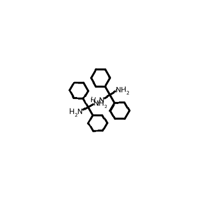 NC(N)(C1CCCCC1)C1CCCCC1.NC(N)(C1CCCCC1)C1CCCCC1